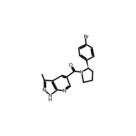 Cc1n[nH]c2ncc(C(=O)N3CCC[C@@H]3c3ccc(Br)cc3)cc12